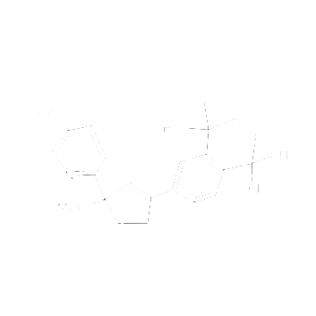 COC1(c2ccc(C(=O)O)cn2)C=C(c2ccc3c(c2)C(C)(C)CCC3(C)C)CC1